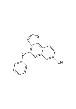 N#Cc1ccc2c(c1)nc(Oc1ccccc1)c1ccsc12